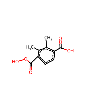 Cc1c(C(=O)O)ccc(C(=O)OO)c1C